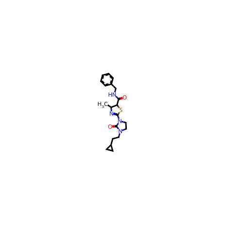 CC1N=C(N2CCN(CCC3CC3)C2=O)SC1C(=O)NCc1ccccc1